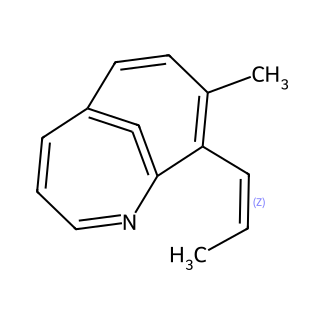 C/C=C\C1=C(C)C=CC2=C=C1N=CC=C2